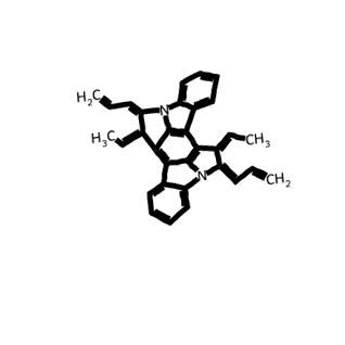 C=C/C=c1\c(=C/C)c2c3c4ccccc4n4c(=C/C=C)/c(=C\C)c(c5c6ccccc6n1c25)c34